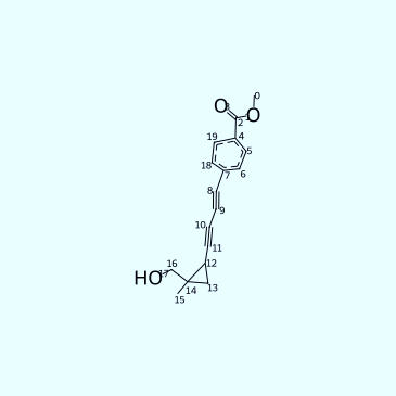 COC(=O)c1ccc(C#CC#CC2CC2(C)CO)cc1